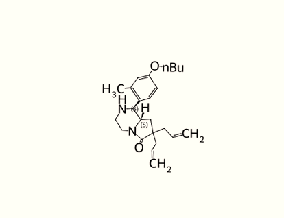 C=CCC1(CC=C)C[C@H]2[C@H](c3ccc(OCCCC)cc3C)NCCN2C1=O